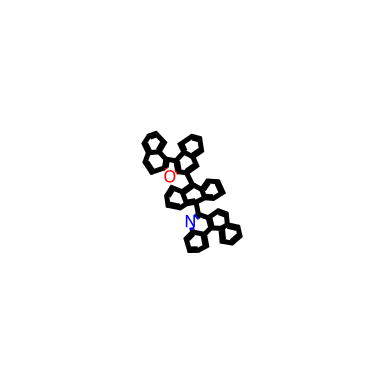 c1ccc2c(c1)ccc1c(-c3c4ccccc4c(-c4cc5ccccc5c5c4oc4ccc6ccccc6c45)c4ccccc34)nc3ccccc3c12